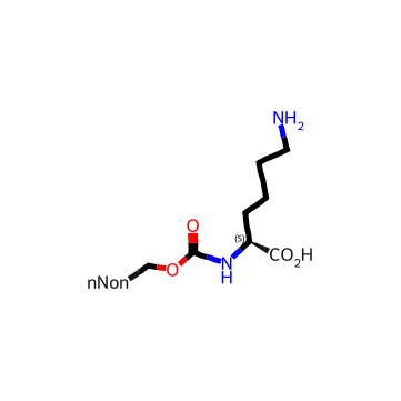 CCCCCCCCCCOC(=O)N[C@@H](CCCCN)C(=O)O